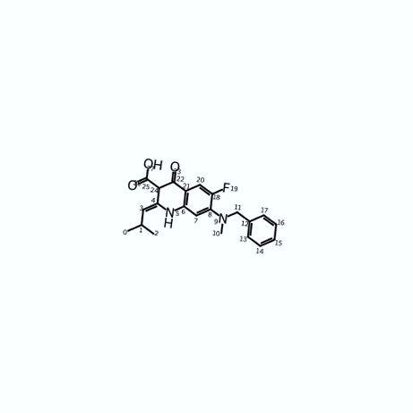 CC(C)C=C1Nc2cc(N(C)Cc3ccccc3)c(F)cc2C(=O)C1C(=O)O